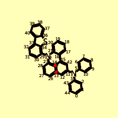 c1ccc(N(c2ccccc2)c2cccc(-c3ccccc3N(c3ccccc3)c3cccc4c3sc3ccccc34)c2)cc1